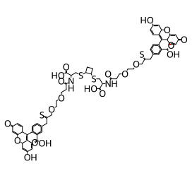 O=C1C=CC2C(=C1)OC1C=C(O)C=CC1=C2c1ccc(CC(=S)COCCOCCC(=O)NC(CSC2CCC2SCC(NC(=O)CCOCCOCC(=S)Cc2ccc(C3=C4C=CC(O)=CC4OC4=CC(=O)C=CC43)c(C(=O)O)c2)C(=O)O)C(=O)O)cc1C(=O)O